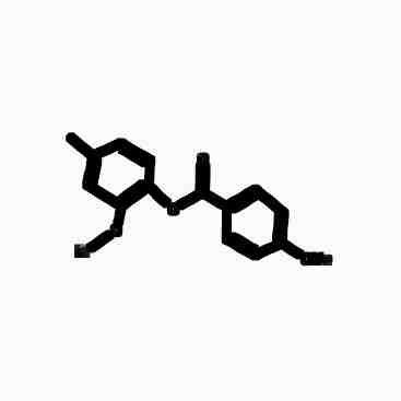 CCOc1cc(C)ccc1OC(=O)c1ccc(OC)cc1